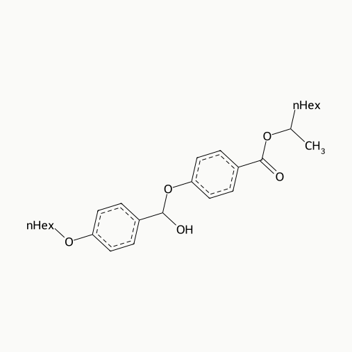 CCCCCCOc1ccc(C(O)Oc2ccc(C(=O)OC(C)CCCCCC)cc2)cc1